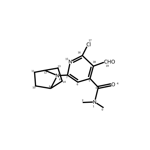 CN(C)C(=O)c1cc(N2C3CCC2CC3)nc(Cl)c1C=O